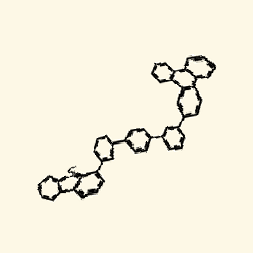 c1cc(-c2ccc(-c3cccc(-c4cccc5c4sc4ccccc45)c3)cc2)cc(-c2ccc3c4ccccc4c4ccccc4c3c2)c1